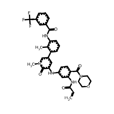 C=CC(=O)Nc1cc(Nc2cc(-c3cccc(NC(=O)c4cccc(C(F)(F)F)c4)c3C)cn(C)c2=O)ccc1C(=O)N1CCOCC1